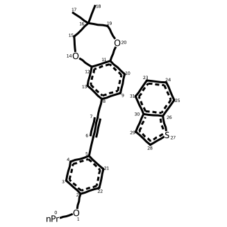 CCCOc1ccc(C#Cc2ccc3c(c2)OCC(C)(C)CO3)cc1.c1ccc2sccc2c1